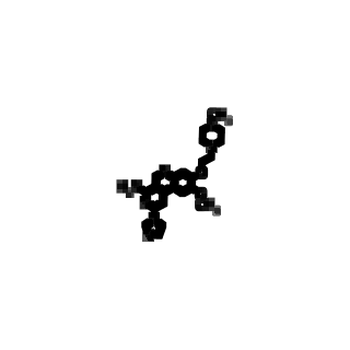 COc1cc2c(cc1OCCN1CCN(C)CC1)ncc1c(N)nc(-n3ccnc3)cc12